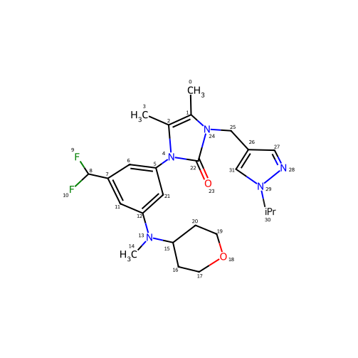 Cc1c(C)n(-c2cc(C(F)F)cc(N(C)C3CCOCC3)c2)c(=O)n1Cc1cnn(C(C)C)c1